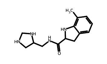 Cc1cccc2c1NC(C(=O)NCC1CNCN1)C2